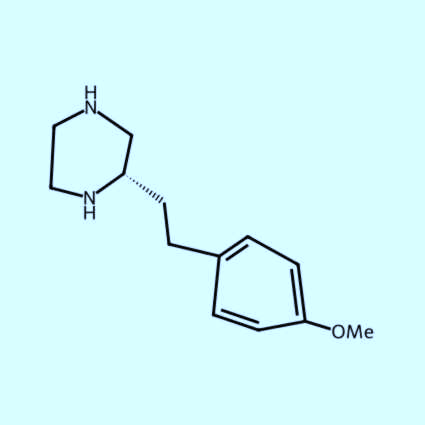 COc1ccc(CC[C@H]2CNCCN2)cc1